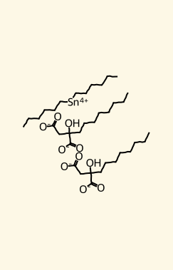 CCCCCCCCC(O)(CC(=O)[O-])C(=O)[O-].CCCCCCCCC(O)(CC(=O)[O-])C(=O)[O-].CCCCC[CH2][Sn+4][CH2]CCCCC